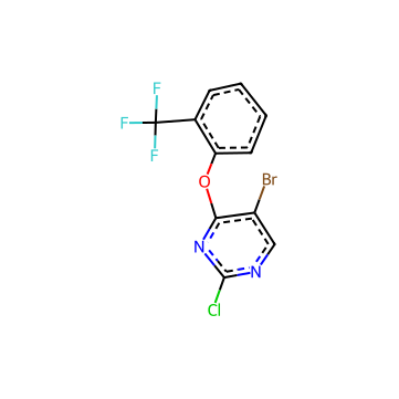 FC(F)(F)c1ccccc1Oc1nc(Cl)ncc1Br